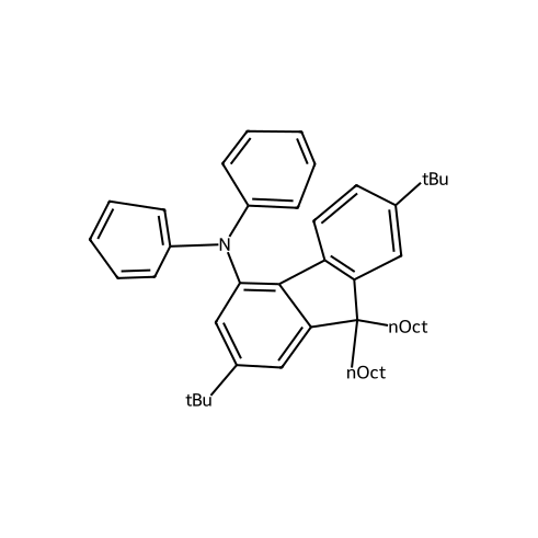 CCCCCCCCC1(CCCCCCCC)c2cc(C(C)(C)C)ccc2-c2c(N(c3ccccc3)c3ccccc3)cc(C(C)(C)C)cc21